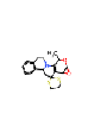 C[C@H]1OC2OC2C2=C1N1CCc3ccccc3C1CC21SCCCS1